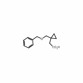 O=C(O)CC1(COCc2ccccc2)CC1